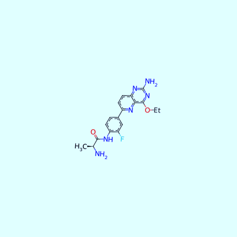 CCOc1nc(N)nc2ccc(-c3ccc(NC(=O)[C@H](C)N)c(F)c3)nc12